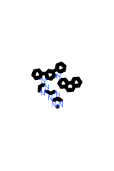 c1ccc2c(c1)ccc1ccc(-n3c4ccccc4c4cc5c6ccccc6n(-c6ccnc(-c7cnc8cncnc8n7)n6)c5cc43)cc12